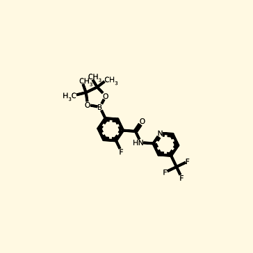 CC1(C)OB(c2ccc(F)c(C(=O)Nc3cc(C(F)(F)F)ccn3)c2)OC1(C)C